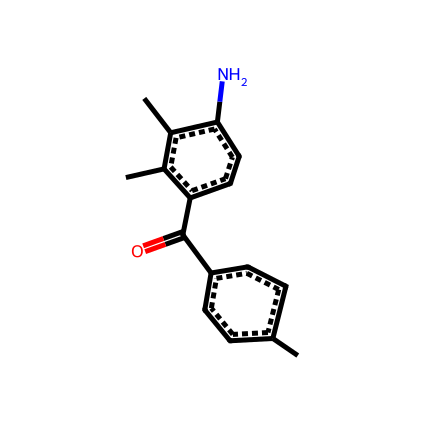 Cc1ccc(C(=O)c2ccc(N)c(C)c2C)cc1